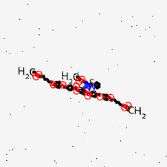 C=CC(=O)OCCCCCCOc1ccc(OCC2CCC(C(=O)Oc3ccc(OC(=O)C4CCC(COc5ccc(OCCCCCCOC(=O)C=C)cc5)CC4)c(/C=N/N(CCOC(=O)C=C)c4nc5ccccc5s4)c3)CC2)cc1